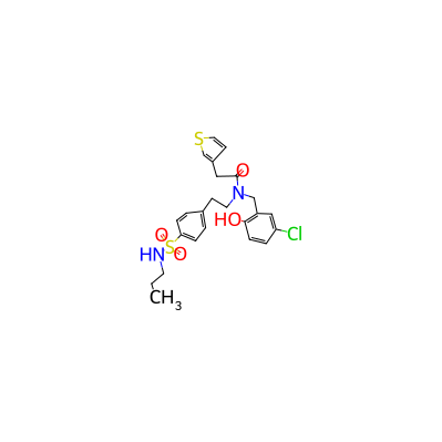 CCCNS(=O)(=O)c1ccc(CCN(Cc2cc(Cl)ccc2O)C(=O)Cc2ccsc2)cc1